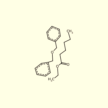 CCCCCC(=O)OCC.c1ccc(COCc2ccccc2)cc1